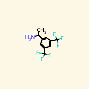 CC(N)c1cc(C(F)(F)F)cc(C(F)(F)F)c1